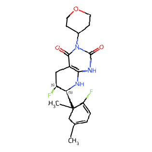 CC1=CC=C(F)C(C)([C@@H]2Nc3[nH]c(=O)n(C4CCOCC4)c(=O)c3C[C@@H]2F)C1